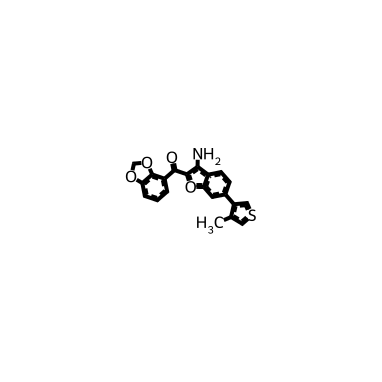 Cc1cscc1-c1ccc2c(N)c(C(=O)c3cccc4c3OCO4)oc2c1